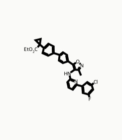 CCOC(=O)C1(c2ccc(-c3ccc(-c4onc(C)c4Nc4cccc(-c5cc(F)cc(Cl)c5)n4)cc3)cc2)CC1